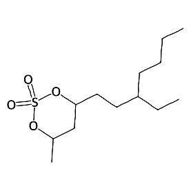 CCCCC(CC)CCC1CC(C)OS(=O)(=O)O1